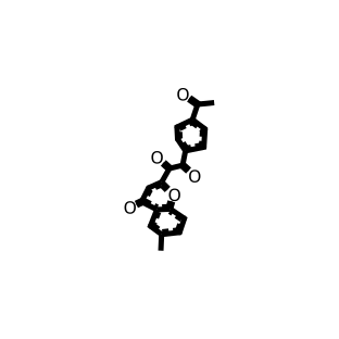 CC(=O)c1ccc(C(=O)C(=O)c2cc(=O)c3cc(C)ccc3o2)cc1